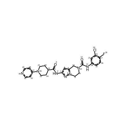 O=C(Nc1cc2n(n1)CCN(C(=O)Nc1ccc(F)c(Cl)c1)C2)C1CCN(c2ccncc2)CC1